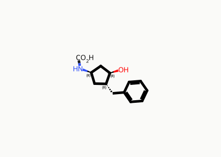 O=C(O)N[C@@H]1C[C@@H](Cc2ccccc2)[C@H](O)C1